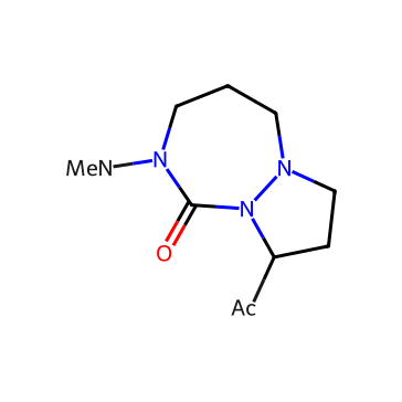 CNN1CCCN2CCC(C(C)=O)N2C1=O